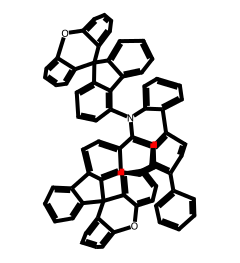 c1ccc(-c2ccc(-c3ccccc3N(c3cccc4c3-c3ccccc3C43c4ccccc4Oc4ccccc43)c3cccc4c5c(ccc34)-c3ccccc3C53c4ccccc4Oc4ccccc43)cc2)cc1